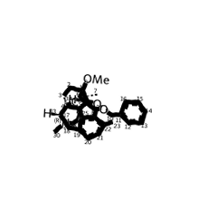 COC12CC[C@@]3(C[C@]1(C)COCc1ccccc1)[C@H]1Cc4ccc(C)c5c4[C@@]3(CCN1C)[C@H]2O5